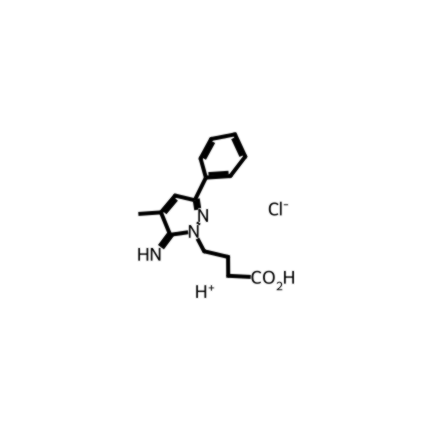 Cc1cc(-c2ccccc2)nn(CCCC(=O)O)c1=N.[Cl-].[H+]